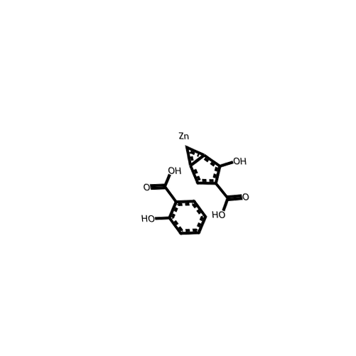 O=C(O)c1cc2cc-2c1O.O=C(O)c1ccccc1O.[Zn]